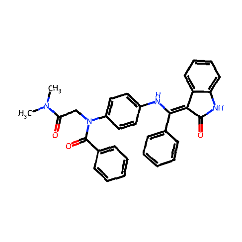 CN(C)C(=O)CN(C(=O)c1ccccc1)c1ccc(NC(=C2C(=O)Nc3ccccc32)c2ccccc2)cc1